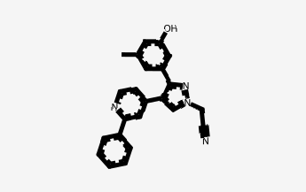 Cc1cc(O)cc(-c2nn(CC#N)cc2-c2ccnc(-c3ccccc3)c2)c1